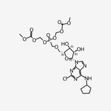 COC(=O)OCOP(=O)(COC[C@H]1O[C@@H](n2cnc3c(NC4CCCC4)nc(Cl)nc32)[C@H](O)[C@@H]1O)OCOC(=O)OC